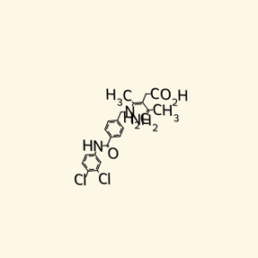 C=C(C)/C(CC(=O)O)=C(/C)N(N)Cc1ccc(C(=O)Nc2ccc(Cl)c(Cl)c2)cc1